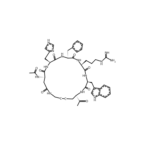 CC(=O)N[C@H]1CC(=O)NCCCC[C@@H](C(C)=O)NC(=O)[C@H](Cc2c[nH]c3ccccc23)NC(=O)[C@H](CCCNC(=N)N)NC(=O)[C@@H](Cc2ccccc2)NC(=O)[C@H](Cc2c[nH]cn2)NC1=O